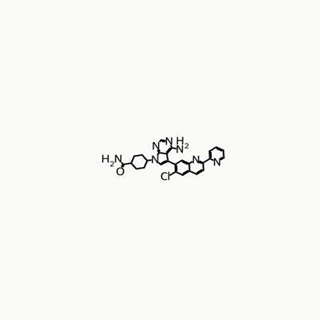 NC(=O)C1CCC(n2cc(-c3cc4nc(-c5ccccn5)ccc4cc3Cl)c3c(N)ncnc32)CC1